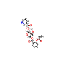 CCCCC(=O)Oc1ccccc1C(=O)O[C@H]1CO[C@@H]2C(OC(=O)c3cccnc3)CO[C@H]12